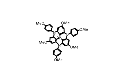 COc1ccc(N2c3cc(OC)cc4c3P3(=S)c5c2cc(OC)cc5N(c2ccc(OC)cc2)c2cc(OC)cc(c23)N4c2ccc(OC)cc2)cc1